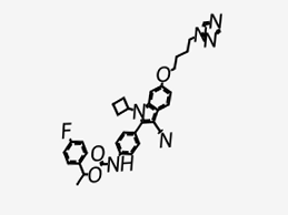 CC(OC(=O)Nc1ccc(-c2c(C#N)c3ccc(OCCCCn4cncn4)cc3n2C2CCC2)cc1)c1ccc(F)cc1